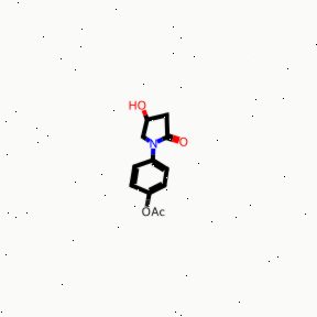 CC(=O)Oc1ccc(N2CC(O)CC2=O)cc1